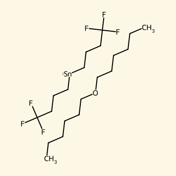 CCCCCCOCCCCCC.FC(F)(F)CC[CH2][Sn][CH2]CCC(F)(F)F